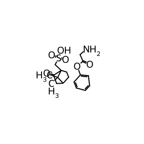 CC1(C)C2CCC1(CS(=O)(=O)O)C(=O)C2.NCC(=O)Oc1ccccc1